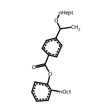 CCCCCCCCc1ccccc1OC(=O)c1ccc(C(C)OCCCCCCC)cc1